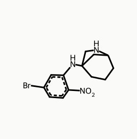 O=[N+]([O-])c1ccc(Br)cc1NC12CCCC(C1)NC2